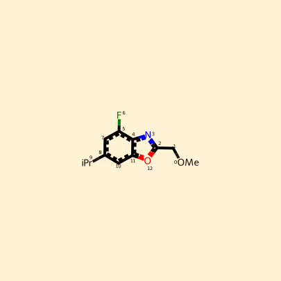 COCc1nc2c(F)cc(C(C)C)cc2o1